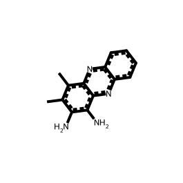 Cc1c(N)c(N)c2nc3ccccc3nc2c1C